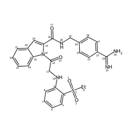 CCS(=O)(=O)c1ccccc1NCC(=O)n1c(C(=O)NCc2ccc(C(=N)N)cc2)cc2ccccc21